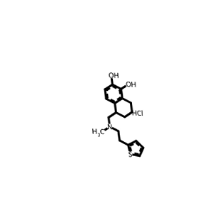 CN(CCc1cccs1)CC1CCCc2c1ccc(O)c2O.Cl